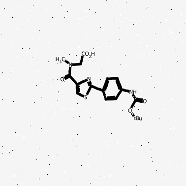 CN(CC(=O)O)C(=O)c1csc(-c2ccc(NC(=O)OC(C)(C)C)cc2)n1